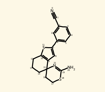 N#Cc1cccc(-c2cc3c(s2)CCCC32CCSC(N)=N2)c1